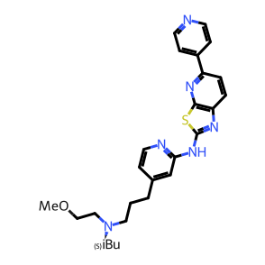 CC[C@H](C)N(CCCc1ccnc(Nc2nc3ccc(-c4ccncc4)nc3s2)c1)CCOC